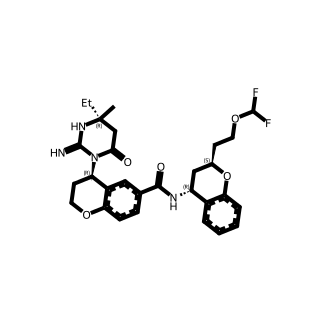 CC[C@]1(C)CC(=O)N([C@@H]2CCOc3ccc(C(=O)N[C@@H]4C[C@@H](CCOC(F)F)Oc5ccccc54)cc32)C(=N)N1